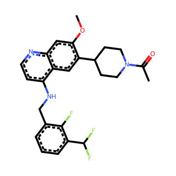 COc1cc2nccc(NCc3cccc(C(F)F)c3F)c2cc1C1CCN(C(C)=O)CC1